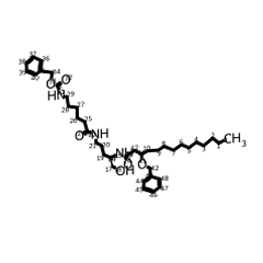 CCCCCCCCCCCC(CC(=O)N[C@@H](CO)CCCNC(=O)CCCCCNC(=O)OCc1ccccc1)OCc1ccccc1